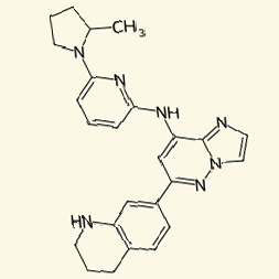 CC1CCCN1c1cccc(Nc2cc(-c3ccc4c(c3)NCCC4)nn3ccnc23)n1